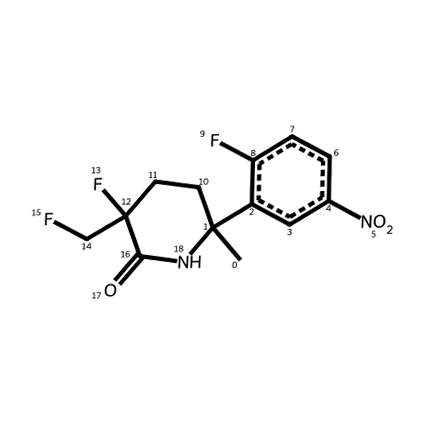 CC1(c2cc([N+](=O)[O-])ccc2F)CCC(F)(CF)C(=O)N1